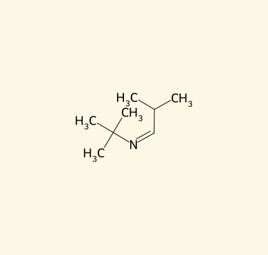 CC(C)/C=N\C(C)(C)C